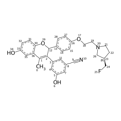 CC1=C(c2cc(O)cc(C#N)c2)C(c2ccc(OCCN3CC[C@@H](CF)C3)cc2)Oc2ccc(O)cc21